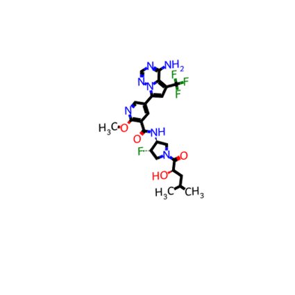 COc1ncc(-c2cc(C(F)(F)F)c3c(N)ncnn23)cc1C(=O)N[C@@H]1CN(C(=O)[C@H](O)CC(C)C)C[C@@H]1F